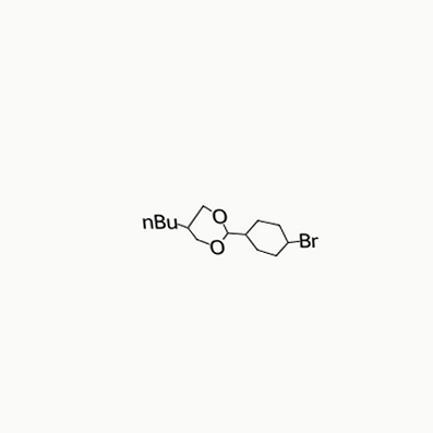 CCCCC1COC(C2CCC(Br)CC2)OC1